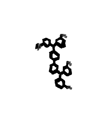 Cc1cccc(N(c2ccc(-c3cccc(N(c4cccc(C)c4)c4cccc(C)c4)c3)cc2)c2cccc(C)c2)c1